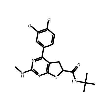 CNc1nc2c(c(-c3ccc(Cl)c(Cl)c3)n1)CC(C(=O)NC(C)(C)C)S2